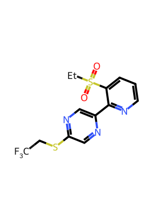 CCS(=O)(=O)c1cccnc1-c1cnc(SCC(F)(F)F)cn1